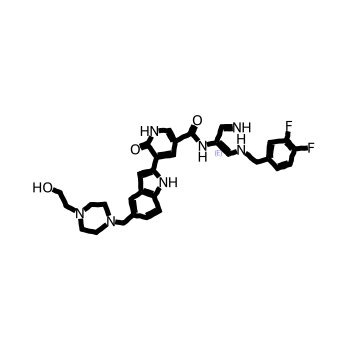 N=C/C(=C\NCc1ccc(F)c(F)c1)NC(=O)c1c[nH]c(=O)c(-c2cc3cc(CN4CCN(CCO)CC4)ccc3[nH]2)c1